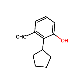 O=Cc1cccc(O)c1C1CCCC1